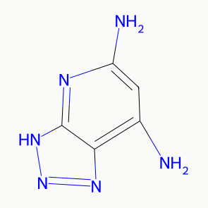 Nc1cc(N)c2nn[nH]c2n1